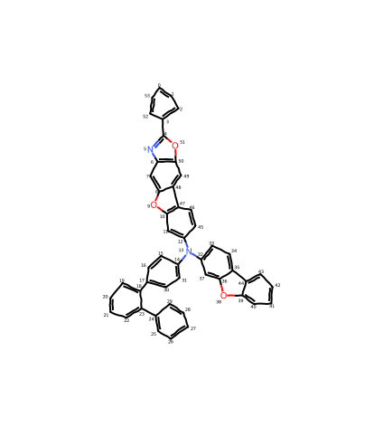 c1ccc(-c2nc3cc4oc5cc(N(c6ccc(-c7ccccc7-c7ccccc7)cc6)c6ccc7c(c6)oc6ccccc67)ccc5c4cc3o2)cc1